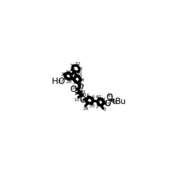 Cc1cc(-c2ccc(OC(C)(C)C(C)(C)C(=O)Oc3ccc(C4(c5ccc(O)cc5)CCCCC4)cc3)c(C)c2)ccc1OC(=O)C(C)(C)C